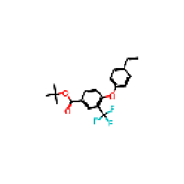 C=Cc1ccc(Oc2ccc(C(=O)OC(C)(C)C)cc2C(F)(F)F)cc1